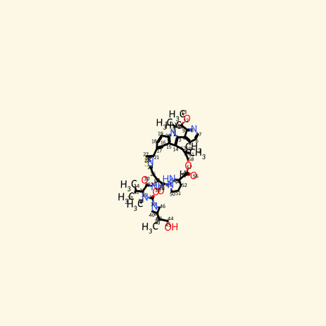 CCn1c(-c2cccnc2[C@H](C)OC)c2c3cc(ccc31)-c1csc(n1)C[C@H](NC(=O)C(C(C)C)N(C)C(=O)N1CC([C@@H](C)CO)C1)C(=O)N1CCC[C@H](N1)C(=O)OCC(C)(C)C2